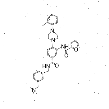 Cc1ccccc1N1CCN(c2ccc(C(=O)NCc3cccc(CN(C)C)c3)cc2NC(=O)c2ccco2)CC1